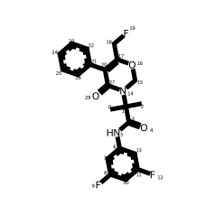 CC(C)(C(=O)Nc1cc(F)cc(F)c1)N1COC(CF)=C(c2ccccc2)C1=O